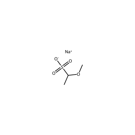 COC(C)S(=O)(=O)[O-].[Na+]